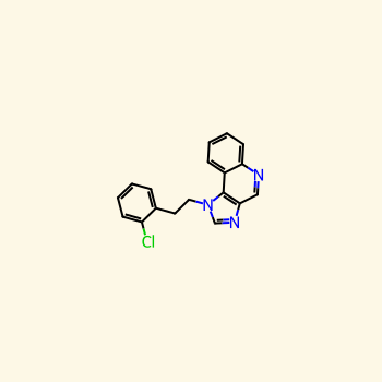 Clc1ccccc1CCn1cnc2cnc3ccccc3c21